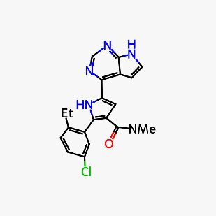 CCc1ccc(Cl)cc1-c1[nH]c(-c2ncnc3[nH]ccc23)cc1C(=O)NC